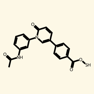 CC(=O)Nc1cccc(-n2cc(-c3ccc(C(=O)OS)cc3)ccc2=O)c1